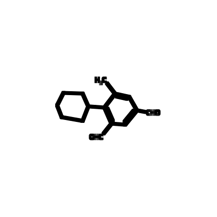 Cc1cc(C=O)cc(C=O)c1C1CCCCC1